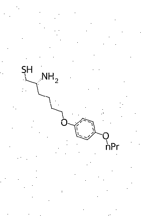 CCCOc1ccc(OCCCC[C@@H](N)CS)cc1